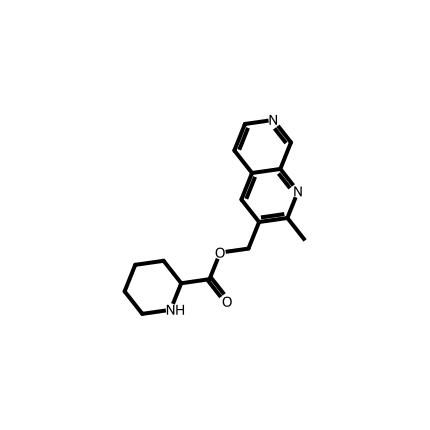 Cc1nc2cnccc2cc1COC(=O)C1CCCCN1